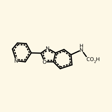 O=C(O)Nc1ccc2oc(-c3cccnc3)nc2c1